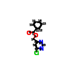 O=C(OCc1cc(Cl)ncn1)c1ccccc1